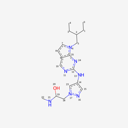 CCC(CC)Cn1ccc2cnc(Nc3cnn(CC(O)NC)c3)nc21